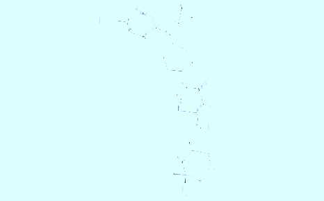 O=c1c(Cl)c(NC[C@H]2COC[C@@H]3C[C@@H]32)cnn1[C@H]1CC[C@H](N(c2ccc(C(F)(F)F)cc2)C2CC2)CC1